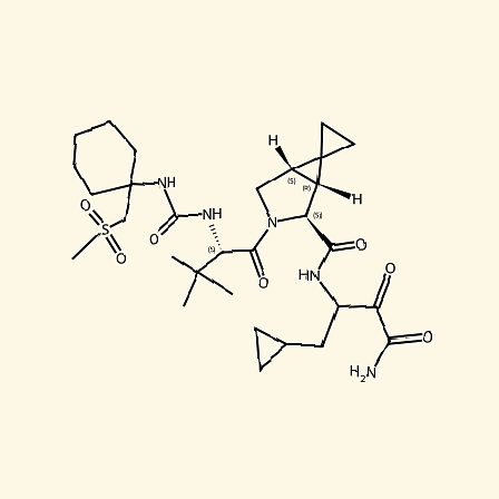 CC(C)(C)[C@H](NC(=O)NC1(CS(C)(=O)=O)CCCCC1)C(=O)N1C[C@H]2[C@@H]([C@H]1C(=O)NC(CC1CC1)C(=O)C(N)=O)C21CC1